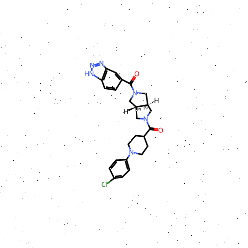 O=C(c1ccc2[nH]nnc2c1)N1C[C@H]2CN(C(=O)C3CCN(c4ccc(Cl)cc4)CC3)C[C@@H]2C1